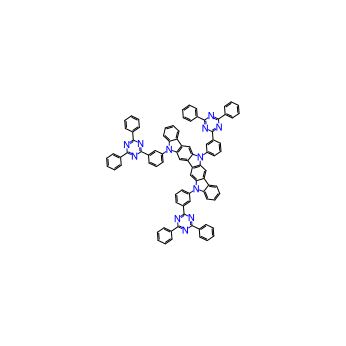 c1ccc(-c2nc(-c3ccccc3)nc(-c3cccc(-n4c5ccccc5c5cc6c(cc54)c4cc5c(cc4n6-c4cccc(-c6nc(-c7ccccc7)nc(-c7ccccc7)n6)c4)c4ccccc4n5-c4cccc(-c5nc(-c6ccccc6)nc(-c6ccccc6)n5)c4)c3)n2)cc1